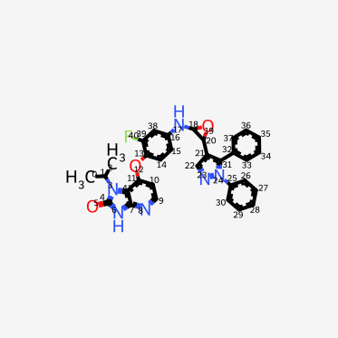 CC(C)n1c(=O)[nH]c2nccc(Oc3ccc(NC4OC4c4cnn(-c5ccccc5)c4-c4ccccc4)cc3F)c21